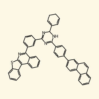 C1=CC(C2N=C(c3cccc(-c4nc5sc6ccccc6c5c5ccccc45)c3)N=C(c3ccc(-c4ccc5c(ccc6ccccc65)c4)cc3)N2)=CCC1